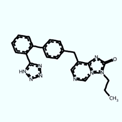 CCCn1c(=O)nc2c(Cc3ccc(-c4ccccc4-c4nnn[nH]4)cc3)cncn21